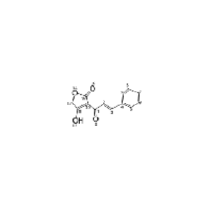 O=C(/C=C/c1ccccc1)C1=C(O)COC1=O